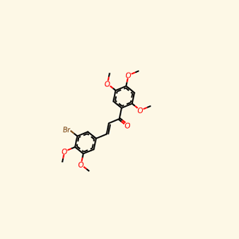 COc1cc(OC)c(C(=O)/C=C/c2cc(Br)c(OC)c(OC)c2)cc1OC